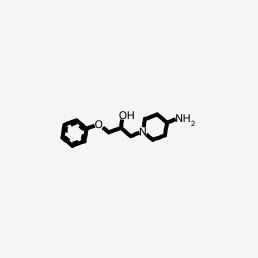 NC1CCN(CC(O)COc2ccccc2)CC1